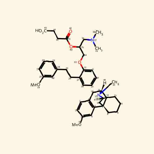 COc1ccc2c(c1)[C@@]13CCCC[C@H]1[C@@H](C2)N(C)CC3.COc1cccc(CCc2ccccc2OCC(CN(C)C)OC(=O)CCC(=O)O)c1